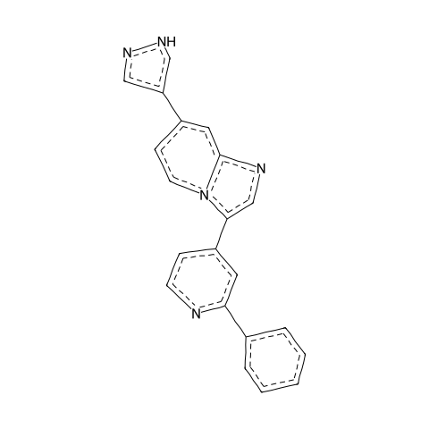 c1ccc(-c2cc(-c3cnc4cc(-c5cn[nH]c5)ccn34)ccn2)cc1